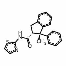 C[C@]1(c2ccccc2)c2ccccc2C[C@H]1C(=O)Nc1nccs1